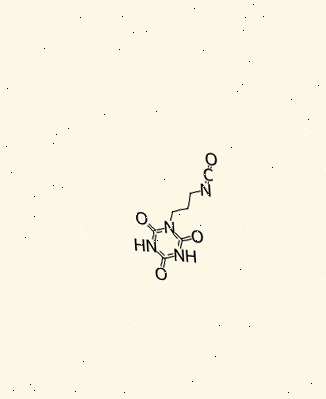 O=C=NCCCn1c(=O)[nH]c(=O)[nH]c1=O